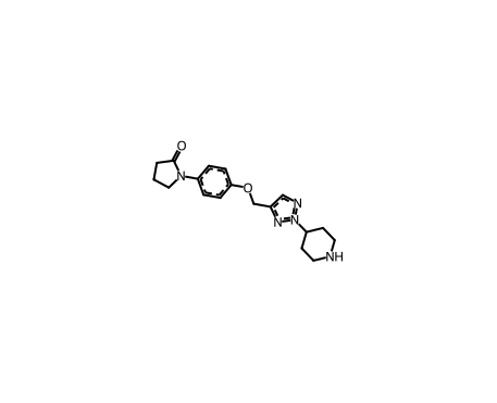 O=C1CCCN1c1ccc(OCc2cnn(C3CCNCC3)n2)cc1